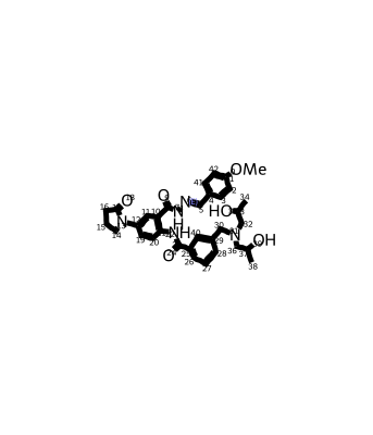 COc1ccc(/C=N/NC(=O)c2cc(N3CCCC3=O)ccc2NC(=O)c2cccc(CN(CC(C)O)CC(C)O)c2)cc1